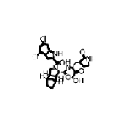 O=C1NCC[C@H]1C[C@H](NC(=O)[C@@H]1[C@H]2[C@H]3CC[C@H](C3)[C@H]2CN1C(=O)c1cc2c(Cl)cc(Cl)cc2[nH]1)C(=O)CO